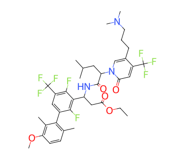 CCOC(=O)CC(NC(=O)C(CC(C)C)n1cc(CCCN(C)C)c(C(F)(F)F)cc1=O)c1c(F)c(-c2c(C)ccc(OC)c2C)cc(C(F)(F)F)c1F